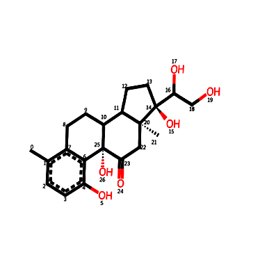 Cc1ccc(O)c2c1CCC1C3CC[C@](O)(C(O)CO)[C@@]3(C)CC(=O)[C@@]21O